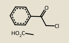 CC(=O)O.O=C(CCl)c1ccccc1